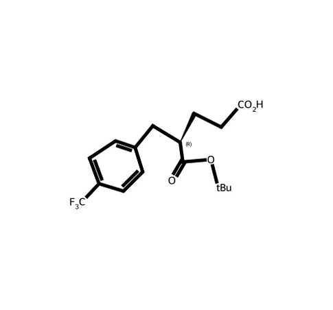 CC(C)(C)OC(=O)[C@H](CCC(=O)O)Cc1ccc(C(F)(F)F)cc1